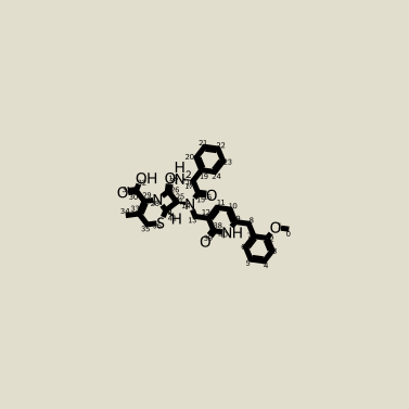 COc1ccccc1Cc1ccc(CN(C(=O)[C@H](N)c2ccccc2)[C@@H]2C(=O)N3C(C(=O)O)=C(C)CS[C@H]23)c(=O)[nH]1